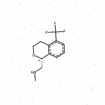 CNC[C@@H]1OCCc2c1cccc2C(F)(F)F